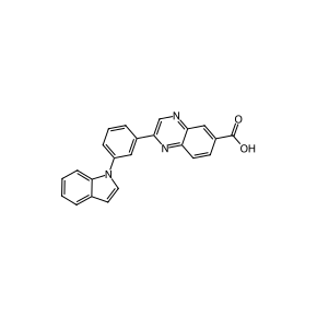 O=C(O)c1ccc2nc(-c3cccc(-n4ccc5ccccc54)c3)cnc2c1